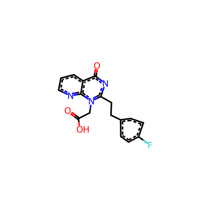 O=C(O)Cn1c(CCc2ccc(F)cc2)nc(=O)c2cccnc21